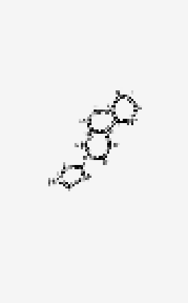 c1c[nH]cn1.c1cnc2c(c1)ccc1ncccc12